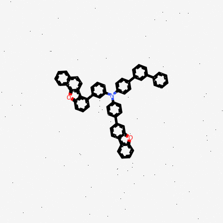 c1ccc(-c2cccc(-c3ccc(N(c4ccc(-c5ccc6c(c5)oc5ccccc56)cc4)c4cccc(-c5cccc6oc7c8ccccc8ccc7c56)c4)cc3)c2)cc1